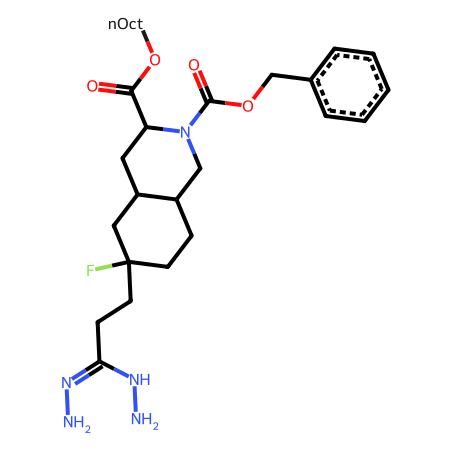 CCCCCCCCOC(=O)C1CC2CC(F)(CC/C(=N/N)NN)CCC2CN1C(=O)OCc1ccccc1